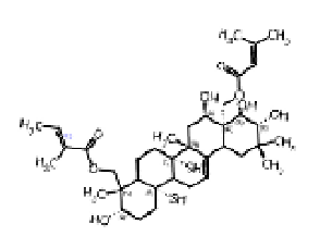 C/C=C(\C)C(=O)OC[C@]1(C)C2CC[C@]3(S)C(CC=C4C5CC(C)(C)[C@@H](O)[C@H](O)[C@]5(COC(=O)C=C(C)C)[C@H](O)C[C@]43C)[C@@]2(S)CC[C@@H]1O